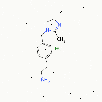 CC1=NCCN1Cc1ccc(CCN)cc1.Cl